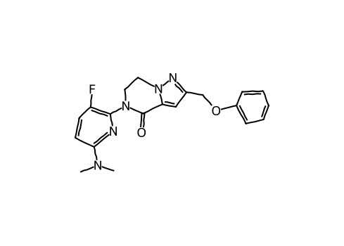 CN(C)c1ccc(F)c(N2CCn3nc(COc4ccccc4)cc3C2=O)n1